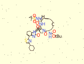 CC(C)n1c(O[C@@H]2C[C@H]3C(=O)N[C@]4(C(=O)NS(=O)(=O)C5(C)CC5)C[C@H]4/C=C\CCCCC[C@H](NC(=O)OC(C)(C)C)C(=O)N3C2)nc2c1CCC=C2c1nc(C2CCCCC2)cs1